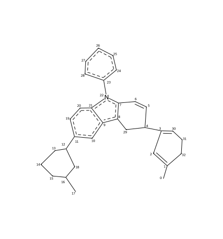 CC1=CC(C2C=Cc3c(c4cc(C5CCCC(C)C5)ccc4n3-c3ccccc3)C2)=CCC1